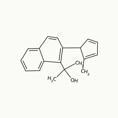 CC1=CC=CC1c1ccc2ccccc2c1C(C)(C)O